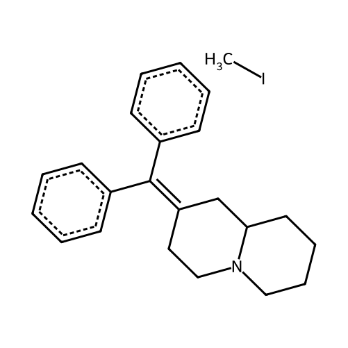 CI.c1ccc(C(=C2CCN3CCCCC3C2)c2ccccc2)cc1